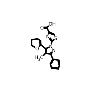 Cc1c(-c2ccccc2)nn(-c2nc(C(=O)O)cs2)c1C1=CCCCO1